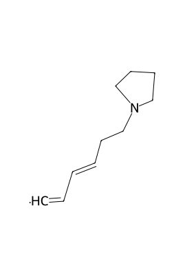 [CH]=CC=CCCN1CCCC1